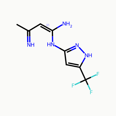 CC(=N)/C=C(/N)Nc1cc(C(F)(F)F)[nH]n1